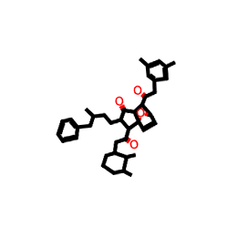 Cc1cc(C)cc(CC(=O)C2C3C=CC4(O3)C(C(=O)CC3CCCC(C)C3C)C(CCC(C)Cc3ccccc3)C(=O)C24)c1